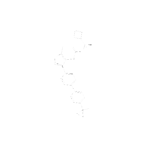 Cc1onc(-c2ccc(-c3ccc(C4(C(=O)O)CC4)cc3)cc2)c1NC(=O)O[C@H](C)C1CCC1